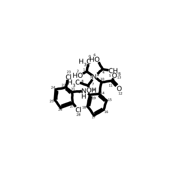 CC(O)[N+](C(C)O)(C(C)O)C(C(=O)[O-])c1ccccc1Nc1c(Cl)cccc1Cl